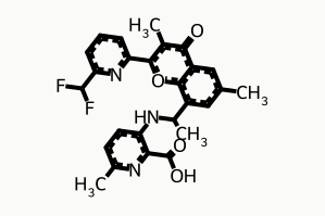 Cc1cc(C(C)Nc2ccc(C)nc2C(=O)O)c2oc(-c3cccc(C(F)F)n3)c(C)c(=O)c2c1